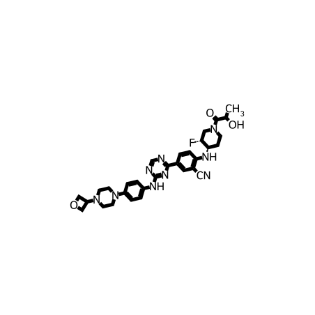 CC(O)C(=O)N1CC[C@H](Nc2ccc(-c3ncnc(Nc4ccc(N5CCN(C6COC6)CC5)cc4)n3)cc2C#N)[C@H](F)C1